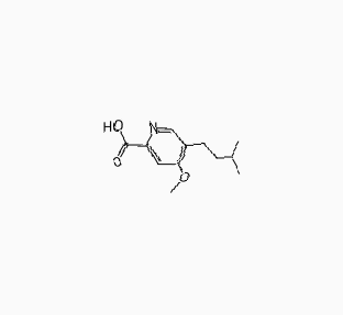 COc1cc(C(=O)O)ncc1CCC(C)C